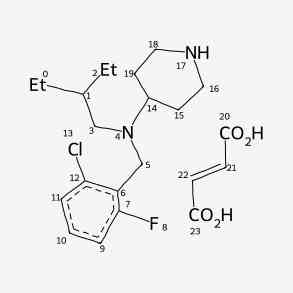 CCC(CC)CN(Cc1c(F)cccc1Cl)C1CCNCC1.O=C(O)/C=C/C(=O)O